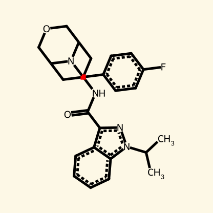 CC(C)n1nc(C(=O)NC2CC3COCC(C2)N3Cc2ccc(F)cc2)c2ccccc21